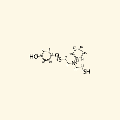 Oc1ccc(OSCCN(CCS)c2ccccc2)cc1